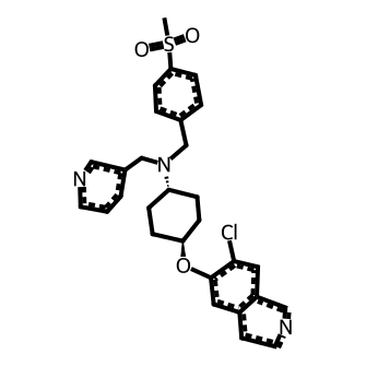 CS(=O)(=O)c1ccc(CN(Cc2cccnc2)[C@H]2CC[C@H](Oc3cc4ccncc4cc3Cl)CC2)cc1